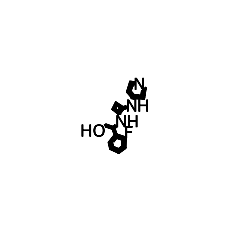 OCC(NC1=C(Nc2ccncc2)CC1)c1ccccc1F